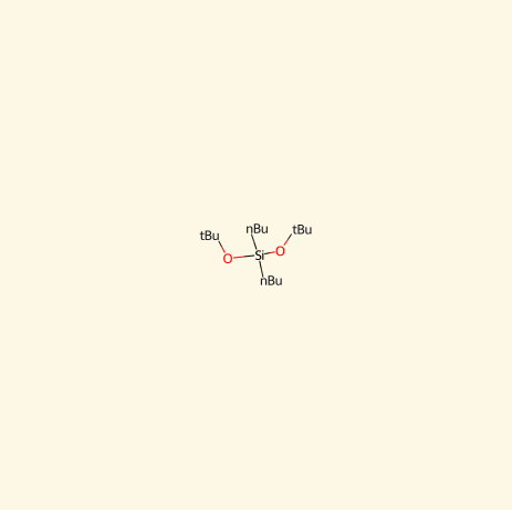 CCCC[Si](CCCC)(OC(C)(C)C)OC(C)(C)C